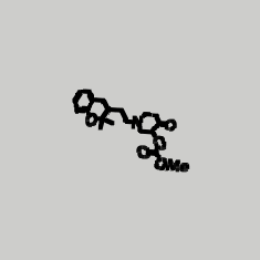 COC(=O)OC1CN(CCC2Cc3ccccc3OC2(C)C)CCC1=O